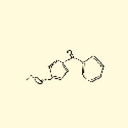 CCOc1ccc(C(=O)c2ccccc2)cc1